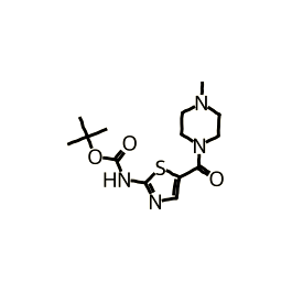 CN1CCN(C(=O)c2cnc(NC(=O)OC(C)(C)C)s2)CC1